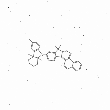 Cc1ccc2c(c1)C1(C)CCCCC1(C)N2c1ccc2c(c1)C(C)(C)c1ccc3c(ccc4ccccc43)c1-2